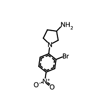 NC1CCN(c2ccc([N+](=O)[O-])cc2Br)C1